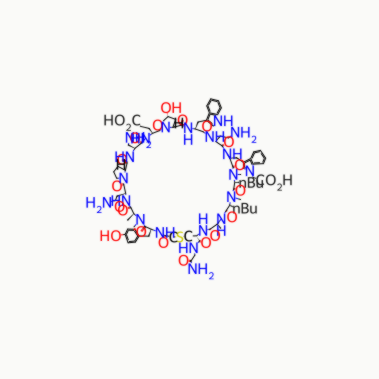 CCCC[C@H]1C(=O)N(C)[C@@H](CCCC)C(=O)N[C@@H](C)C(=O)N[C@H](C(=O)NCC(N)=O)CSCC(=O)N[C@@H](Cc2ccc(O)cc2)C(=O)N(C)[C@@H](C)C(=O)N[C@@H](CC(N)=O)C(=O)N2CCC[C@H]2C(=O)N[C@@H](CN)C(=O)N[C@@H](CCC(=O)O)C(=O)N2C[C@H](O)C[C@H]2C(=O)N[C@@H](Cc2c[nH]c3ccccc23)C(=O)N[C@@H](CCN)C(=O)N[C@@H](Cc2cn(CC(=O)O)c3ccccc23)C(=O)N1C